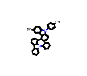 N#Cc1ccc(-n2c3ccc(C#N)cc3c3c(-c4cccc5c6ccccc6n(-c6ccccc6)c45)cccc32)cc1